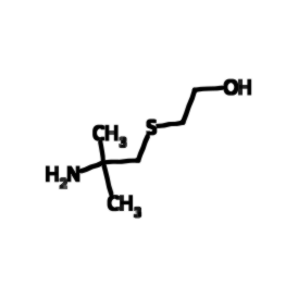 CC(C)(N)CSCCO